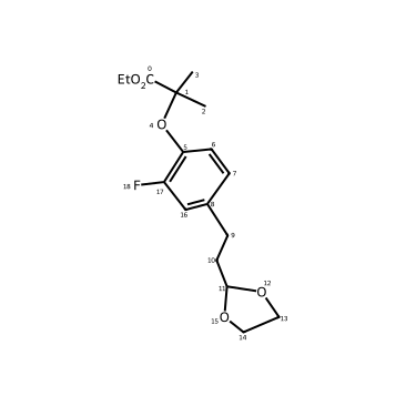 CCOC(=O)C(C)(C)Oc1ccc(CCC2OCCO2)cc1F